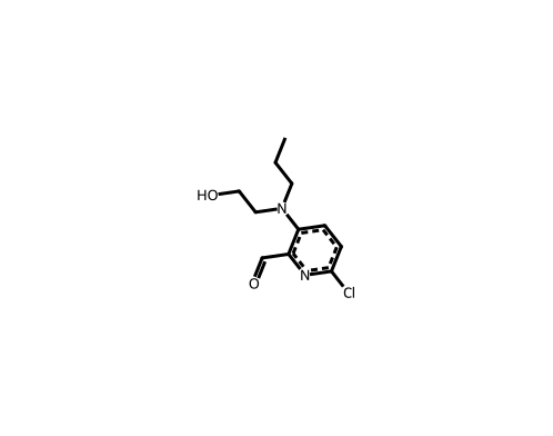 CCCN(CCO)c1ccc(Cl)nc1C=O